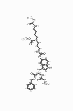 CC(C)(C)OC(=O)NCCCCN(CCCNC(=O)Oc1ccc2[nH]cc(C[C@H](NC(=O)OC(C)(C)C)C(=O)OCc3ccccc3)c2c1)C(=O)OC(C)(C)C